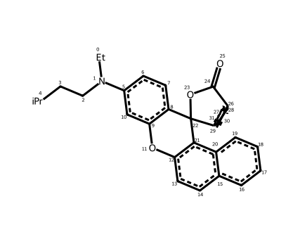 CCN(CCC(C)C)c1ccc2c(c1)Oc1ccc3ccccc3c1C21OC(=O)c2ccccc21